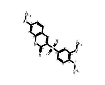 COc1ccc2cc(S(=O)(=O)c3ccc(OC)c(OC)c3)c(=O)oc2c1